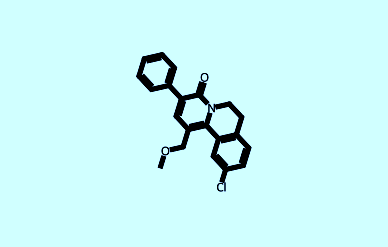 COCc1cc(-c2ccccc2)c(=O)n2c1-c1cc(Cl)ccc1CC2